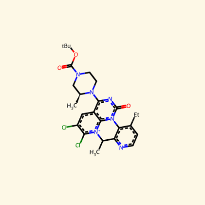 CCc1ccnc2c1-n1c(=O)nc(N3CCN(C(=O)OC(C)(C)C)C[C@@H]3C)c3cc(Cl)c(Cl)[n+](c31)C2C